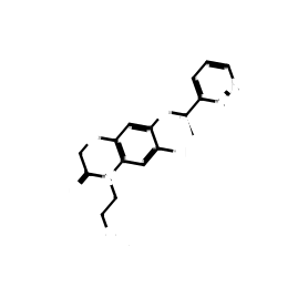 C[C@@H](Oc1cc2c(cc1Cl)N(CCC(=O)O)C(=O)CO2)c1cccnn1